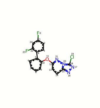 Fc1ccc(-c2ccccc2Oc2ccc3nnc(Cl)n3n2)c(F)c1